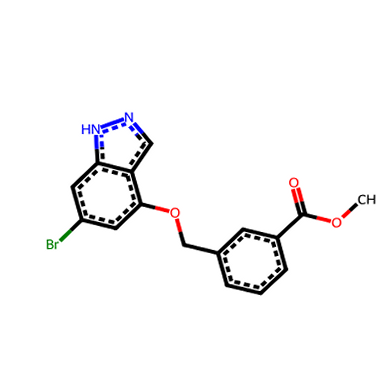 COC(=O)c1cccc(COc2cc(Br)cc3[nH]ncc23)c1